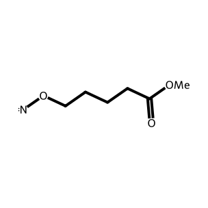 COC(=O)CCCCO[N]